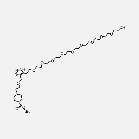 CC(C)(C)OC(=O)N1CCN(CCOCc2nn[nH]c2CCOCCOCCOCCOCCOCCOCCOCCOCCOCCO)CC1